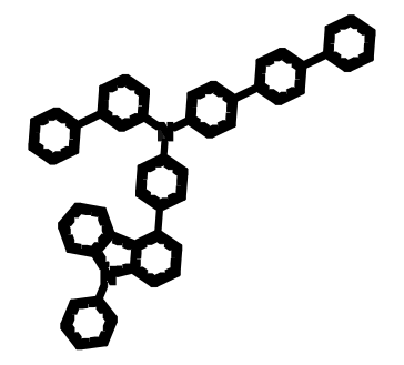 c1ccc(-c2ccc(-c3ccc(N(c4ccc(-c5cccc6c5c5ccccc5n6-c5ccccc5)cc4)c4cccc(-c5ccccc5)c4)cc3)cc2)cc1